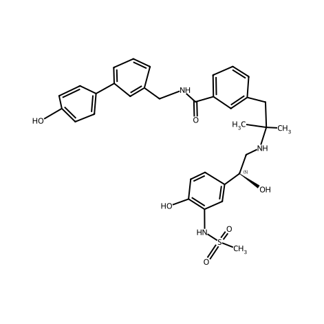 CC(C)(Cc1cccc(C(=O)NCc2cccc(-c3ccc(O)cc3)c2)c1)NC[C@@H](O)c1ccc(O)c(NS(C)(=O)=O)c1